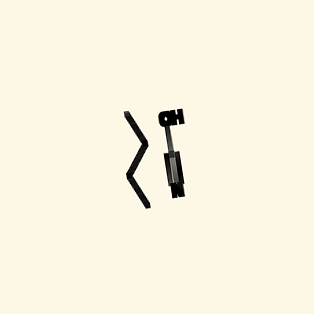 CCCC.N#CO